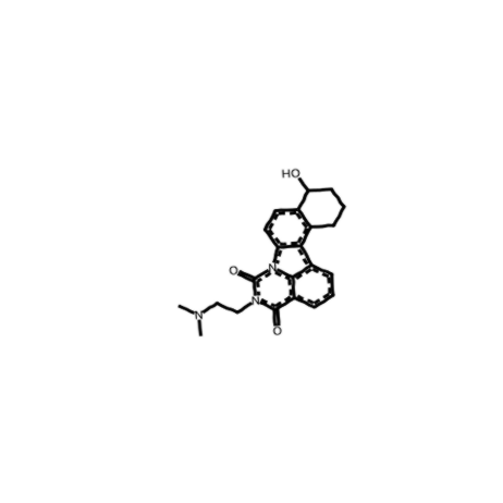 CN(C)CCn1c(=O)c2cccc3c4c5c(ccc4n(c1=O)c23)C(O)CCC5